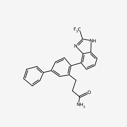 NC(=O)CCc1cc(-c2ccccc2)ccc1-c1cccc2[nH]c(C(F)(F)F)nc12